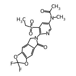 CCS(=O)(=O)c1cc(N(C)C(C)=O)cnc1N1Cc2cc3c(cc2C1=O)OC(F)(F)O3